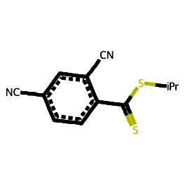 CC(C)SC(=S)c1ccc(C#N)cc1C#N